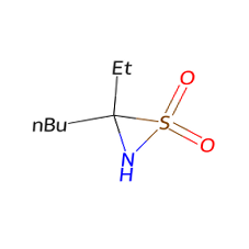 CCCCC1(CC)NS1(=O)=O